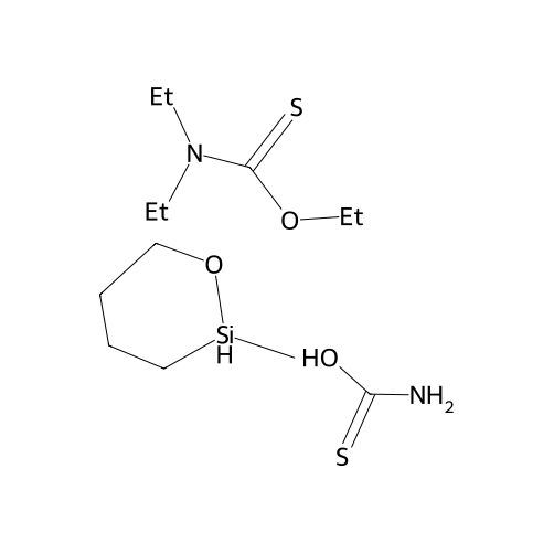 CCOC(=S)N(CC)CC.C[SiH]1CCCCO1.NC(O)=S